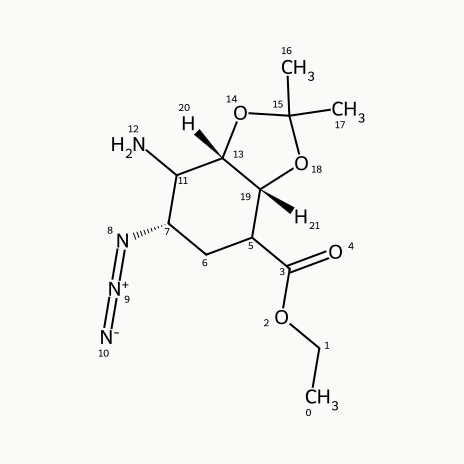 CCOC(=O)C1C[C@H](N=[N+]=[N-])C(N)[C@@H]2OC(C)(C)O[C@H]12